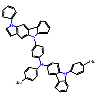 CC(C)(C)c1ccc(N(c2ccc(-n3c4ccccc4c4cc5c(ccn5-c5ccccc5)cc43)cc2)c2ccc3c(c2)c2ccccc2n3-c2ccc(C(C)(C)C)cc2)cc1